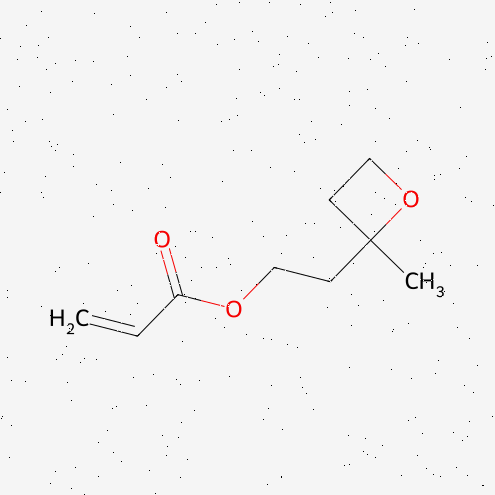 C=CC(=O)OCCC1(C)CCO1